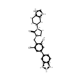 O=C1[C@H](Cc2c(Cl)cc(-c3ccc4nonc4c3)cc2Cl)CCN1C1CCc2[nH]cnc2C1